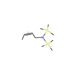 C/C=C\CN(S(C)(C)C)S(C)(C)C